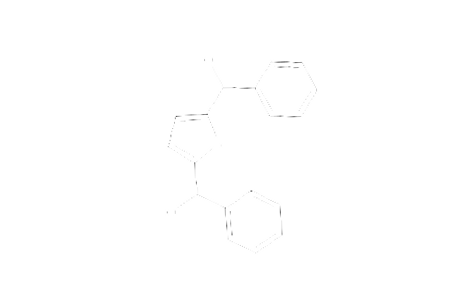 OC(c1ccccc1)c1ccc(C(O)c2ccccc2)s1